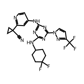 N#CC1(c2cc(Nc3nc(NC4CCC(F)(F)CC4)nc(-n4ccc(C(F)(F)F)n4)n3)ccn2)CC1